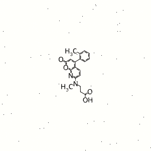 Cc1ccccc1-c1cc(=O)oc2nc(N(C)CCC(=O)O)ccc12